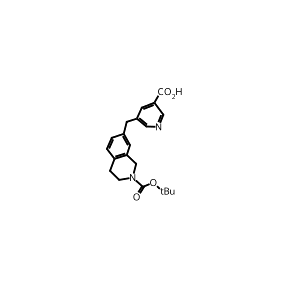 CC(C)(C)OC(=O)N1CCc2ccc(Cc3cncc(C(=O)O)c3)cc2C1